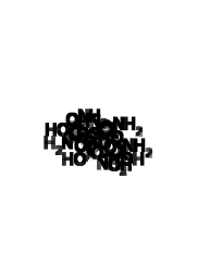 CN[C@@H]1C[C@H](N)[C@@H](O[C@H]2O[C@H](CN)[C@@H](O)[C@H](O)[C@H]2N)[C@H](O[C@@H]2O[C@H](CO)[C@@H](O[C@H]3O[C@@H](CN)[C@@H](O)[C@H](O)[C@H]3N)[C@H]2O)[C@H]1O